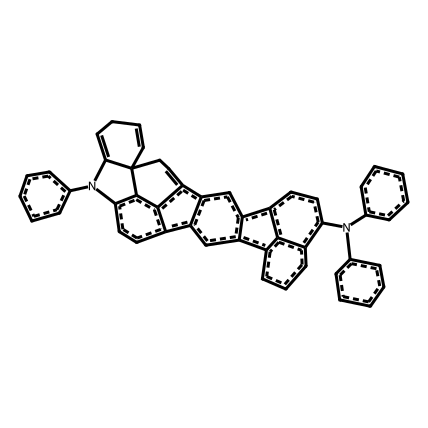 C1=CC23CC=c4c5cc6c(cc5c5ccc(c2c45)N(c2ccccc2)C3=CC1)c1cccc2c(N(c3ccccc3)c3ccccc3)ccc6c21